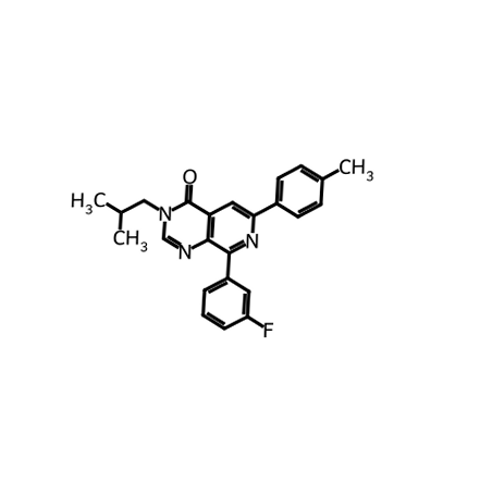 Cc1ccc(-c2cc3c(=O)n(CC(C)C)cnc3c(-c3cccc(F)c3)n2)cc1